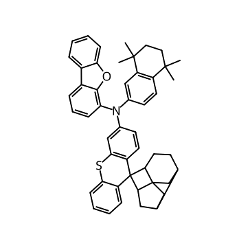 CC1(C)CCC(C)(C)c2cc(N(c3ccc4c(c3)Sc3ccccc3C43C4CCC5CC46CC5CC63)c3cccc4c3oc3ccccc34)ccc21